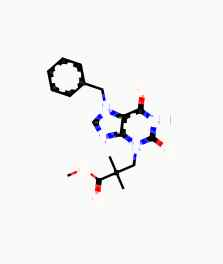 COC(=O)C(C)(C)Cn1c(=O)[nH]c(=O)c2c1ncn2Cc1ccccc1